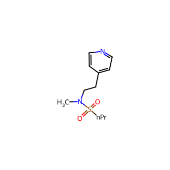 CCCS(=O)(=O)N(C)CCc1ccncc1